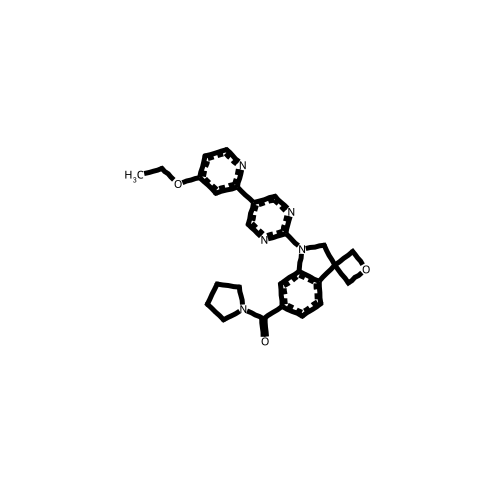 CCOc1ccnc(-c2cnc(N3CC4(COC4)c4ccc(C(=O)N5CCCC5)cc43)nc2)c1